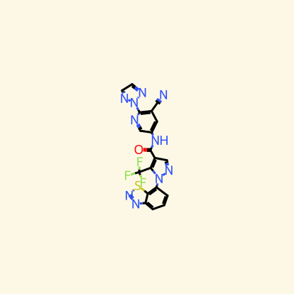 N#Cc1cc(NC(=O)c2cnn(-c3cccc4nnsc34)c2C(F)(F)F)cnc1-n1nccn1